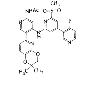 CC(=O)Nc1cc(Nc2cc(-c3cnccc3F)cc(S(C)(=O)=O)n2)c(-c2ccc3c(n2)OCC(C)(C)O3)cn1